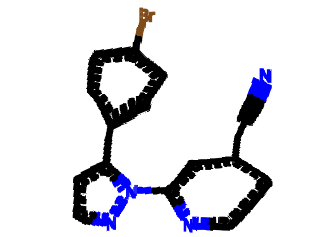 N#Cc1ccnc(-n2nccc2-c2ccc(Br)cc2)c1